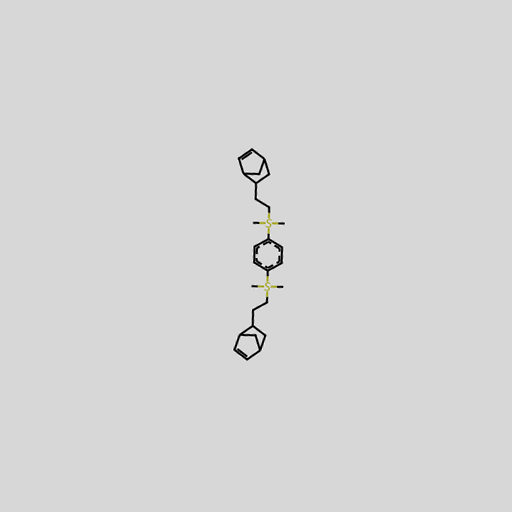 CS(C)(CCC1CC2C=CC1C2)c1ccc(S(C)(C)CCC2CC3C=CC2C3)cc1